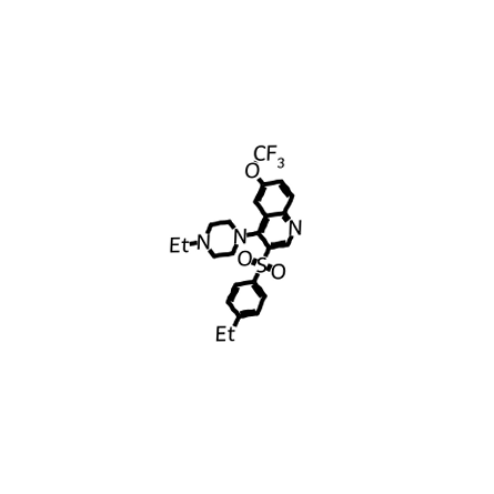 CCc1ccc(S(=O)(=O)c2cnc3ccc(OC(F)(F)F)cc3c2N2CCN(CC)CC2)cc1